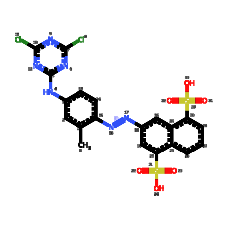 Cc1cc(Nc2nc(Cl)nc(Cl)n2)ccc1/N=N/c1cc(S(=O)(=O)O)c2cccc(S(=O)(=O)O)c2c1